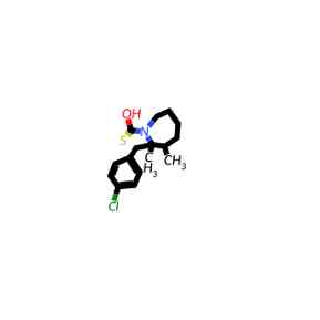 CC1CCCCN(C(O)=S)C1(C)Cc1ccc(Cl)cc1